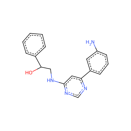 Nc1cccc(-c2cc(NCC(O)c3ccccc3)ncn2)c1